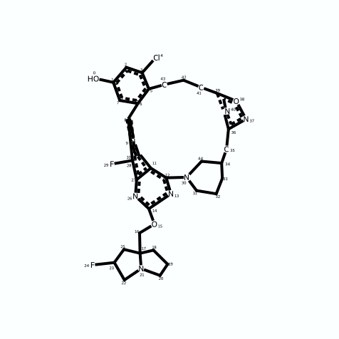 Oc1cc(Cl)c2c(c1)-c1ncc3c(nc(OCC45CCCN4CC(F)C5)nc3c1F)N1CCCC(Cc3noc(n3)CCC2)C1